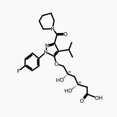 CC(C)c1c(C(=O)N2CCCCC2)nn(-c2ccc(F)cc2)c1OC[C@@H](O)C[C@@H](O)CC(=O)O